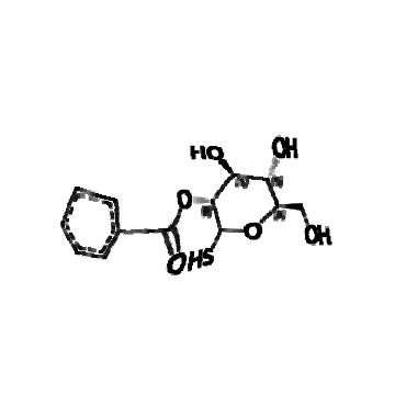 O=C(O[C@H]1C(S)O[C@H](CO)[C@@H](O)[C@@H]1O)c1ccccc1